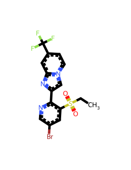 CCS(=O)(=O)c1cc(Br)cnc1-c1cn2ccc(C(F)(F)F)cc2n1